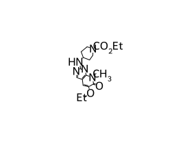 CCOC(=O)N1CCC(Nc2ncc3cc(OCC)c(=O)n(C)c3n2)CC1